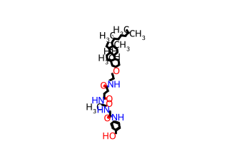 CC(C)CCC[C@@H](C)[C@H]1CC[C@H]2[C@@H]3CC=C4C[C@@H](OCCCNC(=O)CCC(=O)N[C@@H](C)C(=O)NCC(=O)Nc5ccc(CO)cc5)CC[C@]4(C)[C@H]3CC[C@]12C